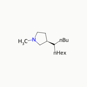 CCCCCCC(CCCC)[C@@H]1CCN(C)C1